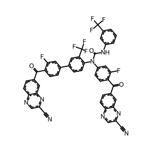 N#Cc1cnc2ccc(C(=O)c3ccc(-c4ccc(N(C(=O)Nc5cccc(C(F)(F)F)c5)c5ccc(C(=O)c6ccc7ncc(C#N)nc7c6)c(F)c5)c(C(F)(F)F)c4)cc3F)cc2n1